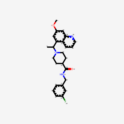 COc1cc(C(C)N2CCC(C(=O)NCc3cccc(F)c3)CC2)c2cccnc2c1